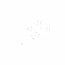 CCCN(CCC)CCCCc1nc2ccc(CN(Cc3ncc[nH]3)C(C)c3ncc[nH]3)cc2n1Cc1ccccc1